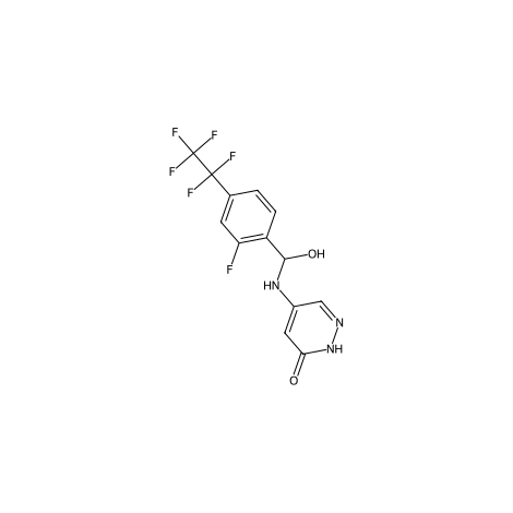 O=c1cc(NC(O)c2ccc(C(F)(F)C(F)(F)F)cc2F)cn[nH]1